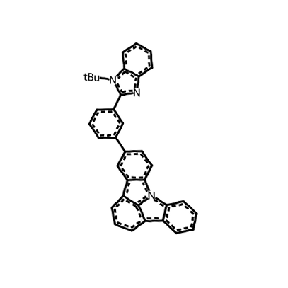 CC(C)(C)n1c(-c2cccc(-c3ccc4c(c3)c3cccc5c6ccccc6n4c53)c2)nc2ccccc21